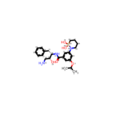 CC(C)Oc1cc(C(=O)N[C@@H](Cc2ccccc2)[C@H](O)CN)cc(N2CCCCS2(O)O)c1